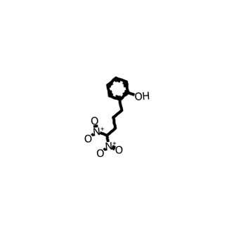 O=[N+]([O-])C(CCCc1ccccc1O)[N+](=O)[O-]